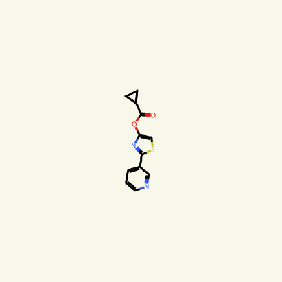 O=C(Oc1csc(-c2cccnc2)n1)C1CC1